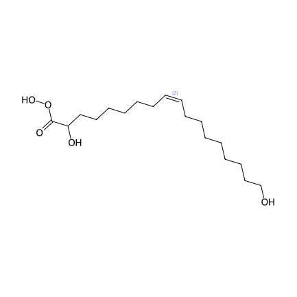 O=C(OO)C(O)CCCCCC/C=C\CCCCCCCCO